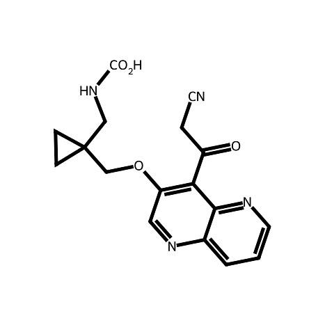 N#CCC(=O)c1c(OCC2(CNC(=O)O)CC2)cnc2cccnc12